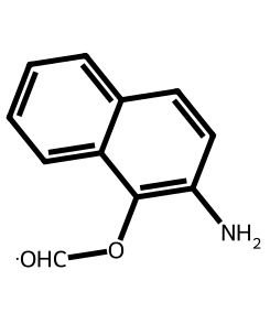 Nc1ccc2ccccc2c1O[C]=O